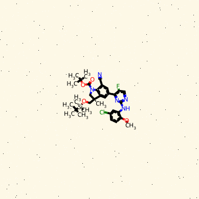 COc1ccc(Cl)cc1Nc1ncc(F)c(-c2cc(C#N)c3c(c2)[C@@](C)(CO[Si](C)(C)C(C)(C)C)CN3C(=O)OC(C)(C)C)n1